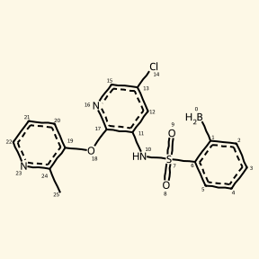 Bc1ccccc1S(=O)(=O)Nc1cc(Cl)cnc1Oc1cccnc1C